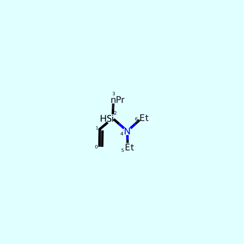 C=C[SiH](CCC)N(CC)CC